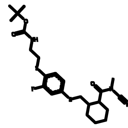 CN(C#N)C(=O)C1CCCCC1CSc1ccc(SCCNC(=O)OC(C)(C)C)c(F)c1